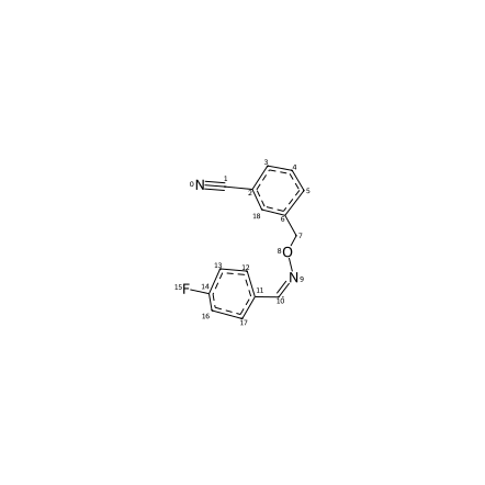 N#Cc1cccc(CO/N=[C]\c2ccc(F)cc2)c1